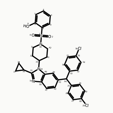 O=S(=O)(c1ccccc1O)N1CCC(n2c(C3CC3)nc3ccc(C(c4ccc(Cl)cc4)c4ccc(Cl)cc4)cc32)CC1